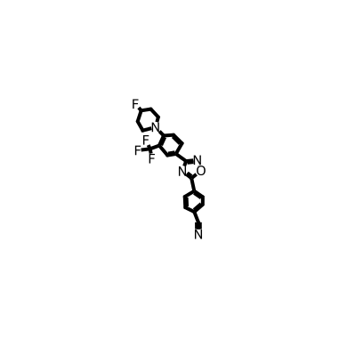 N#Cc1ccc(-c2nc(-c3ccc(N4CCC(F)CC4)c(C(F)(F)F)c3)no2)cc1